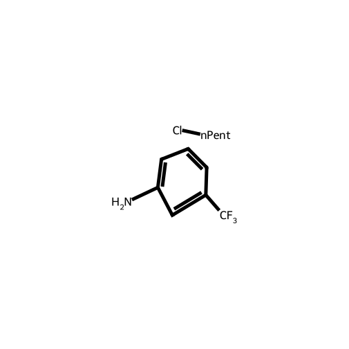 CCCCCCl.Nc1cccc(C(F)(F)F)c1